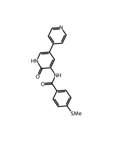 CSc1ccc(C(=O)Nc2cc(-c3ccncc3)c[nH]c2=O)cc1